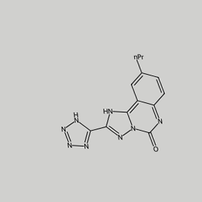 CCCc1ccc2nc(=O)n3nc(-c4nnn[nH]4)[nH]c3c2c1